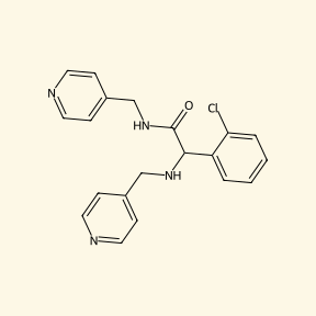 O=C(NCc1ccncc1)C(NCc1ccncc1)c1ccccc1Cl